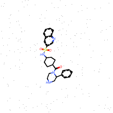 O=C(C1CCC(NS(=O)(=O)c2cnc3ccccc3c2)CC1)N1CCNCC1c1ccccc1